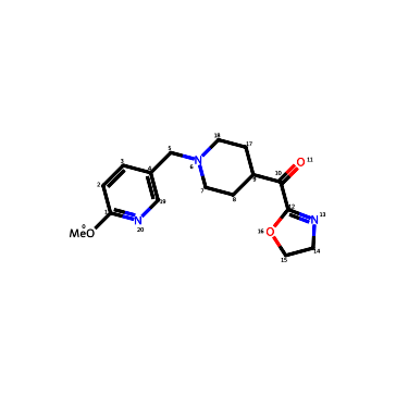 COc1ccc(CN2CCC(C(=O)C3=NCCO3)CC2)cn1